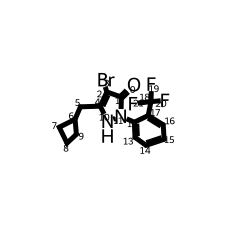 O=c1c(Br)c(CC2CCC2)[nH]n1-c1ccccc1C(F)(F)F